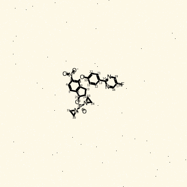 O=[N+]([O-])c1ccc2c(c1Oc1ccc(-c3ncc(F)cn3)cc1)CCC2OP(=O)(N1CC1)N1CC1